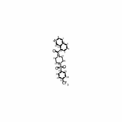 O=C(c1cccc2ccncc12)N1CCN(S(=O)(=O)c2ccc(C(F)(F)F)cc2)CC1